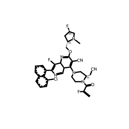 C=C(F)C(=O)N1CCN(C2=C(C#N)C(OC[C@@H]3C[C@@H](F)CN3C)=NC3C(F)=C(c4cccc5cccc(Cl)c45)N=CC23)C[C@@H]1CC#N